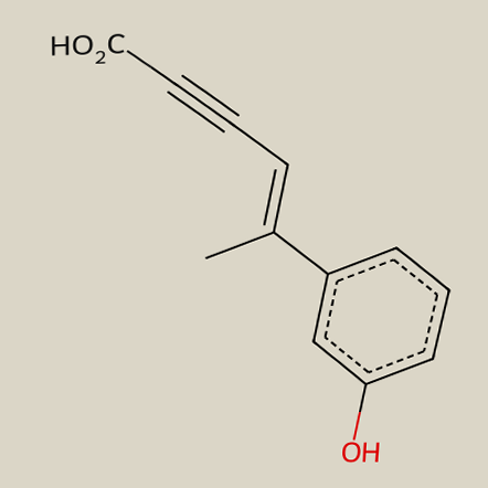 C/C(=C\C#CC(=O)O)c1cccc(O)c1